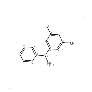 Cc1cc(Cl)cc(N(N)c2ccccc2)c1